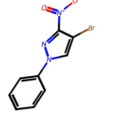 O=[N+]([O-])c1nn(-c2ccccc2)cc1Br